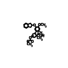 COC(=O)ON1C[C@@H](c2ccc(OC)c(OC3Cc4ccccc4C3)c2)[C@](C)([C@H](C)O)C1